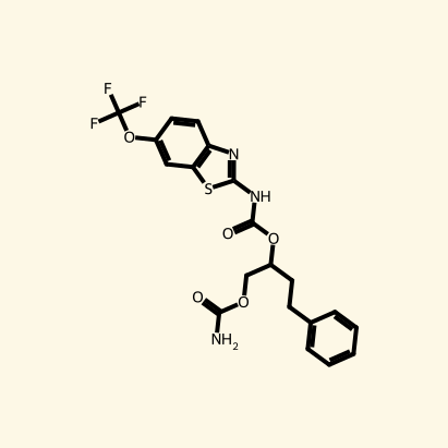 NC(=O)OCC(CCc1ccccc1)OC(=O)Nc1nc2ccc(OC(F)(F)F)cc2s1